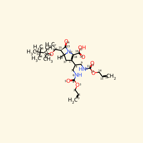 C=CCOC(=O)NCC(CNC(=O)OCC=C)C1=C(C(=O)O)N2C(=O)[C@H]([C@@H](C)O[Si](C)(C)C(C)(C)C)[C@H]2C1